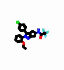 CCOc1ccccc1-n1nc2c(c1-c1ccc(Cl)cc1)C[C@@H](NC(=O)C(F)(F)F)C2